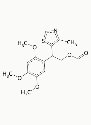 COc1cc(OC)c(C(COC=O)c2scnc2C)cc1OC